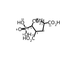 CCC(CC(C(=O)O)C(C(=O)O)P(=O)(O)O)C(=O)O